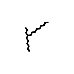 C=CCCCCC(CC=CCCCC=CC)CCC